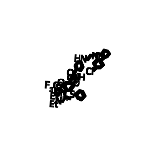 CCN(CC)C[C@H](CSc1ccccc1)Nc1ccc(S(=O)(=O)NC(=O)c2ccc(NCCNCC3=C(c4ccc(Cl)cc4)CCCC3)cc2)cc1S(=O)(=O)C(F)(F)F